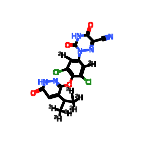 [2H]c1c(Cl)c(Oc2n[nH]c(=O)cc2C(C([2H])([2H])[2H])C([2H])([2H])[2H])c(Cl)c([2H])c1-n1nc(C#N)c(=O)[nH]c1=O